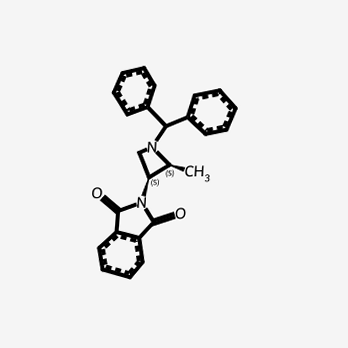 C[C@H]1[C@@H](N2C(=O)c3ccccc3C2=O)CN1C(c1ccccc1)c1ccccc1